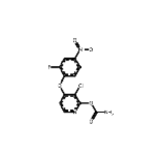 NC(=O)Oc1nccc(Oc2ccc([N+](=O)[O-])cc2F)c1Cl